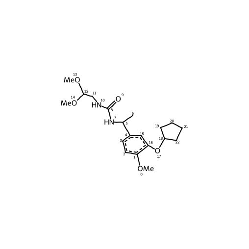 COc1ccc(C(C)NC(=O)NCC(OC)OC)cc1OC1CCCC1